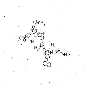 C=CC(=O)N1CCN(c2nc(OC[C@@H]3CCCN3C)nc3c2CCN(c2cc(C4C[C@@H](COc5nc6c(c(N7CCN(C(=O)/C=C/CN8CCCCC8)[C@@H](CC#N)C7)n5)CCN(c5cccc7ccccc57)C6)N(C)C4)ccc2C(F)(F)F)C3)C[C@@H]1CC#N